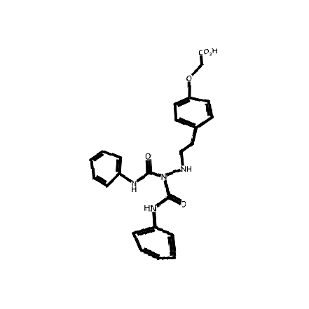 O=C(O)COc1ccc(CCNN(C(=O)Nc2ccccc2)C(=O)Nc2ccccc2)cc1